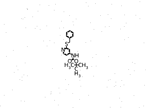 CC(C)(C)OC(=O)Nc1ccnc(SCc2ccccc2)c1